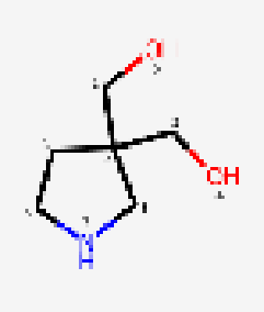 OCC1(CO)CCNC1